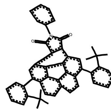 CC(C)(C)c1ccccc1-c1cc2c3c(=O)n(-c4ccccc4)c(=O)c3c3cc(-c4ccccc4C(C)(C)C)c4ccc5ccc1c1c5c4c3c21